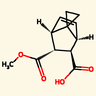 COC(=O)[C@H]1[C@H](C(=O)O)[C@@H]2C=C[C@H]1C21CC1